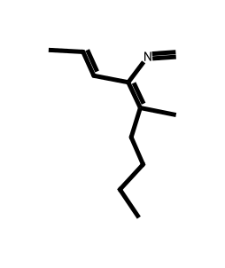 C=NC(/C=C/C)=C(\C)CCCC